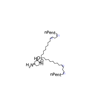 CCCCC/C=C\C/C=C\CCCCCCCCC1(CCCCCCCC/C=C\C/C=C\CCCCC)O[C@H]2C[C@@H](N)CC[C@H]2O1